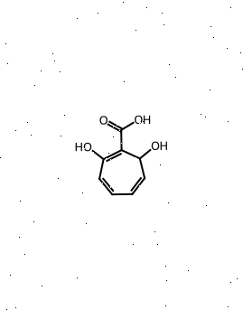 O=C(O)C1=C(O)C=CC=CC1O